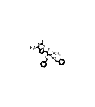 CO[C@H](COCc1ccccc1)[C@@H](OCc1ccccc1)[C@@H](F)c1ccc2c(N)nc(F)nn12